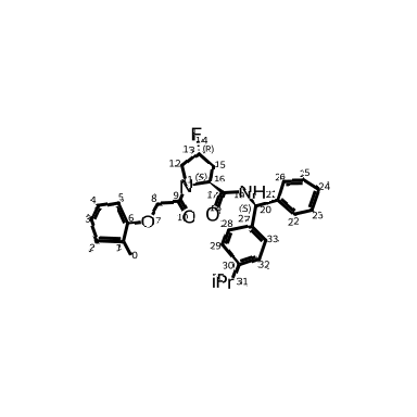 Cc1ccccc1OCC(=O)N1C[C@H](F)C[C@H]1C(=O)N[C@@H](c1ccccc1)c1ccc(C(C)C)cc1